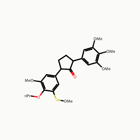 CCCOc1c(OC)cc(C2CCC(c3cc(OC)c(OC)c(OC)c3)C2=O)cc1SOC